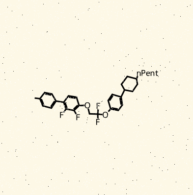 CCCCCC1CCC(c2ccc(OC(F)(F)COc3ccc(-c4ccc(C)cc4)c(F)c3F)cc2)CC1